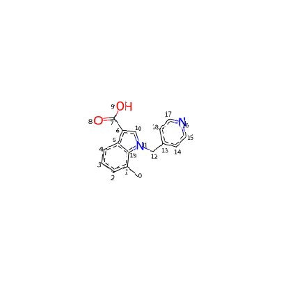 Cc1cccc2c(C(=O)O)cn(Cc3ccncc3)c12